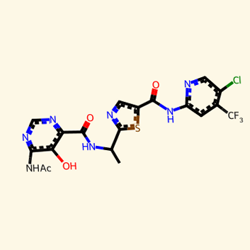 CC(=O)Nc1ncnc(C(=O)NC(C)c2ncc(C(=O)Nc3cc(C(F)(F)F)c(Cl)cn3)s2)c1O